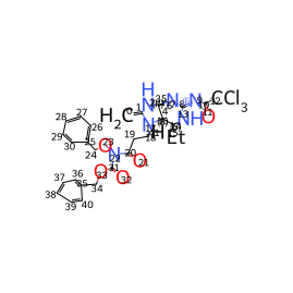 C=C1N[C@]23C=CCN2/C(=N/C(=O)C(Cl)(Cl)Cl)N[C@@H](CC)[C@@H]3N1CCC(=O)N(OCc1ccccc1)C(=O)OCc1ccccc1